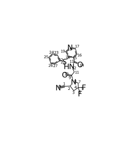 N#CC1CC(F)(F)CN1C(=O)CNC(=O)c1ccncc1Sc1ccccc1